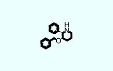 c1ccc(CO[C@H]2CCCN[C@H]2c2ccccc2)cc1